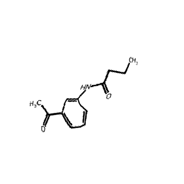 CCCC(=O)Nc1cccc(C(C)=O)c1